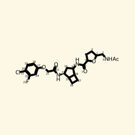 CC(=O)NCC1CCC(C(=O)NC2C[C@H](NC(=O)COc3ccc(Cl)c(F)c3)C3CCC23)O1